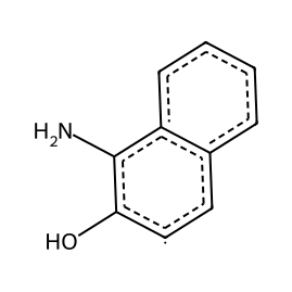 Nc1c(O)[c]cc2ccccc12